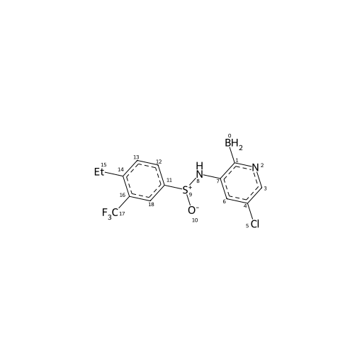 Bc1ncc(Cl)cc1N[S+]([O-])c1ccc(CC)c(C(F)(F)F)c1